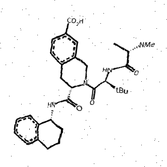 CN[C@@H](C)C(=O)N[C@H](C(=O)N1Cc2cc(C(=O)O)ccc2C[C@H]1C(=O)N[C@@H]1CCCc2ccccc21)C(C)(C)C